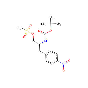 CC(C)(C)OC(=O)NC(COS(C)(=O)=O)Cc1ccc([N+](=O)[O-])cc1